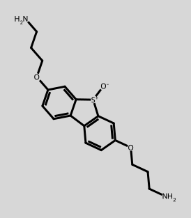 NCCCOc1ccc2c3ccc(OCCCN)cc3[s+]([O-])c2c1